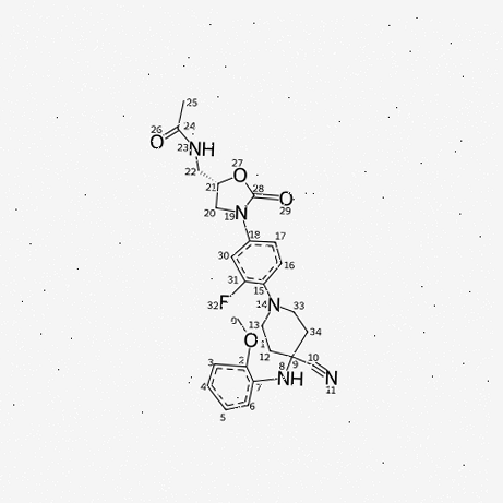 COc1ccccc1NC1(C#N)CCN(c2ccc(N3C[C@H](CNC(C)=O)OC3=O)cc2F)CC1